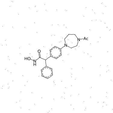 CC(=O)N1CCCN(c2ccc(C(C(=O)NO)c3ccccc3)cc2)CC1